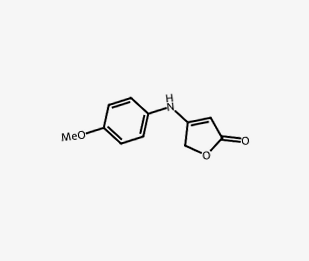 COc1ccc(NC2=CC(=O)OC2)cc1